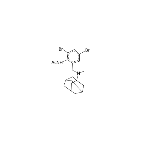 CC(=O)Nc1c(Br)cc(Br)cc1CN(C)C12CC3CC(CC(C3)C1)C2